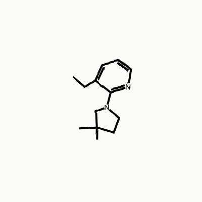 CCc1cccnc1N1CCC(C)(C)C1